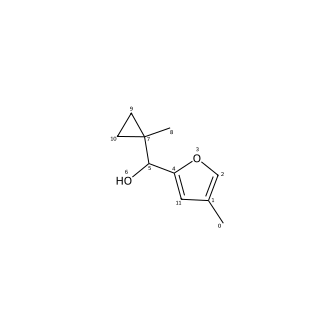 Cc1coc(C(O)C2(C)CC2)c1